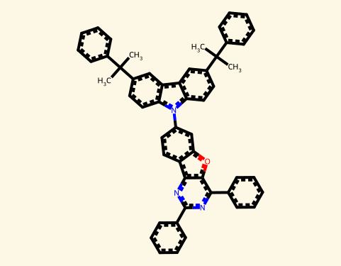 CC(C)(c1ccccc1)c1ccc2c(c1)c1cc(C(C)(C)c3ccccc3)ccc1n2-c1ccc2c(c1)oc1c(-c3ccccc3)nc(-c3ccccc3)nc12